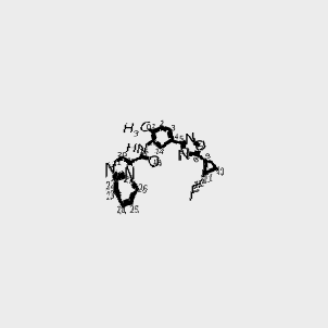 Cc1ccc(-c2noc(C3C[C@@H]3F)n2)cc1NC(=O)c1cnc2ccccn12